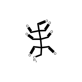 CCC(C=O)(C=O)C(C=O)(C=O)C(C=O)(C=O)C=O